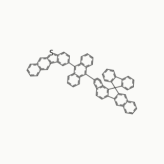 c1ccc2c(c1)-c1ccccc1C21c2cc3ccccc3cc2-c2ccc3cc(-c4c5ccccc5c(-c5ccc6sc7cc8ccccc8cc7c6c5)c5ccccc45)ccc3c21